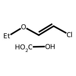 CCOC=CCl.O=C(O)O